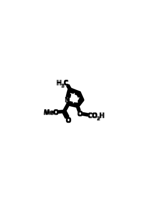 COC(=O)c1nc(C)ccc1OC(=O)O